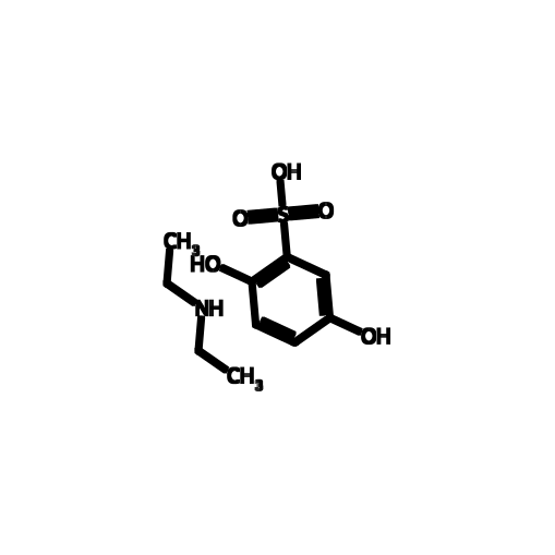 CCNCC.O=S(=O)(O)c1cc(O)ccc1O